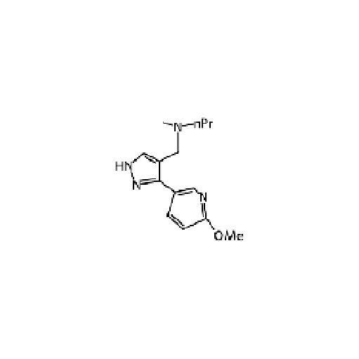 CCCN(C)Cc1c[nH]nc1-c1ccc(OC)nc1